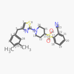 Cc1ccc(Cc2csc(N3CCC(S(=O)(=O)c4ccccc4C#N)CC3)n2)cc1C